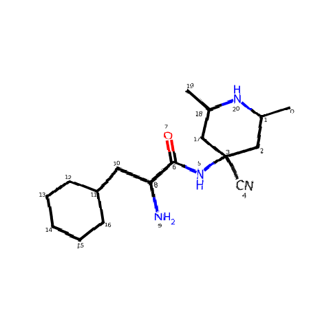 CC1CC(C#N)(NC(=O)C(N)CC2CCCCC2)CC(C)N1